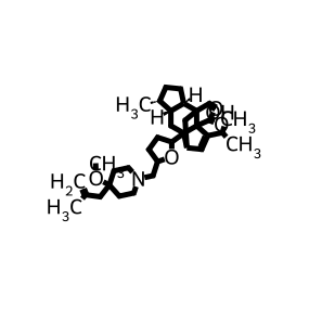 C=C(C)CC1(OC)CCN(CC2CCC(C34C[C@@H]5[C@H](C)CC[C@H]5C5(C=O)CC3C=C(C(C)C)C45C(=O)O)O2)CC1